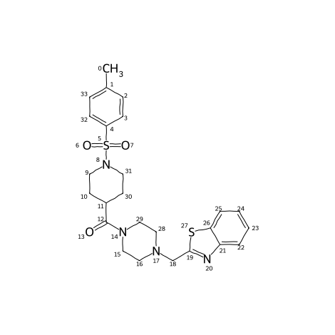 Cc1ccc(S(=O)(=O)N2CCC(C(=O)N3CCN(Cc4nc5ccccc5s4)CC3)CC2)cc1